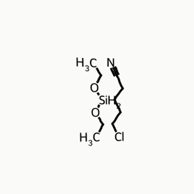 CCO[SiH2]OCC.N#CCCCCCl